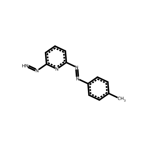 Cc1ccc(/N=N/c2cccc(N=N)n2)cc1